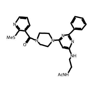 CSc1ncccc1C(=O)N1CCN(c2cc(NCCNC(C)=O)nc(-c3ccccc3)n2)CC1